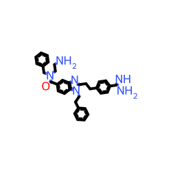 N=C(N)c1ccc(CCc2nc3cc(C(=O)N(CCN)Cc4ccccc4)ccc3n2CCc2ccccc2)cc1